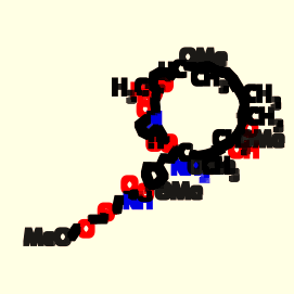 COCCOCCOCCNC(=O)O[C@@H]1CC[C@@H](C[C@@H](N)[C@@H]2C[C@@H](OC)[C@H](C)/C=C(\C)[C@@H](O)[C@@H](OC)C(=O)[C@H](C)C[C@H](C)/C=C/C=C/C=C(\C)[C@@H](OC)C[C@@H]3CC[C@@H](C)[C@@](O)(O3)C(=O)C(=O)N3CCCC[C@H]3C(=O)O2)C[C@H]1OC